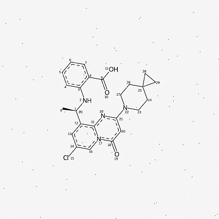 C[C@@H](Nc1ccccc1C(=O)O)c1cc(Cl)cn2c(=O)cc(N3CCC4(CC3)CC4)nc12